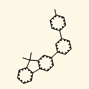 CC1(C)c2ccccc2-c2ccc(-c3cccc(-c4ccc(Cl)cc4)c3)cc21